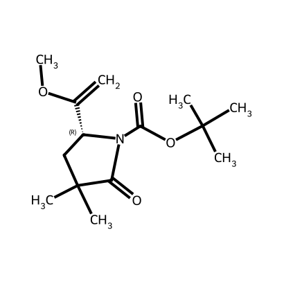 C=C(OC)[C@H]1CC(C)(C)C(=O)N1C(=O)OC(C)(C)C